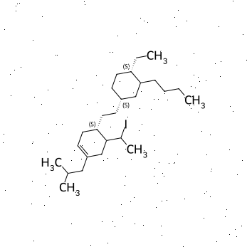 CCCCC1C[C@H](CC[C@H]2CC=C(CC(C)C)CC2C(C)I)CC[C@@H]1CC